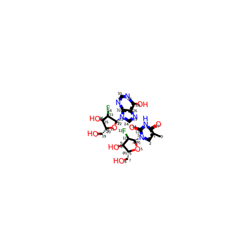 Cc1cn([C@@H]2O[C@H](CO)[C@@H](O)C2F)c(=O)[nH]c1=O.OC[C@H]1O[C@@H](n2cnc3c(O)ncnc32)C(F)[C@@H]1O